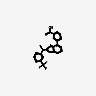 CC(c1cccc(C(F)(F)F)c1)c1cc2cccc(-c3cccc(C(=O)O)c3)c2s1